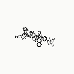 CC(C)C[C@@H](C(=O)NC[C@H](NC(=O)OCC(C)(C)C)C(=O)O)N1C(=O)N(Cc2ccccc2)[C@@](C)(c2ccc(C(=N)N)cc2)C1=O